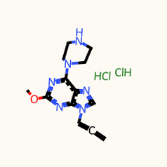 C=C=Cn1cnc2c(N3CCNCC3)nc(OC)nc21.Cl.Cl